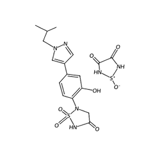 CC(C)Cn1cc(-c2ccc(N3CC(=O)NS3(=O)=O)c(O)c2)cn1.O=c1[nH][s+]([O-])[nH]c1=O